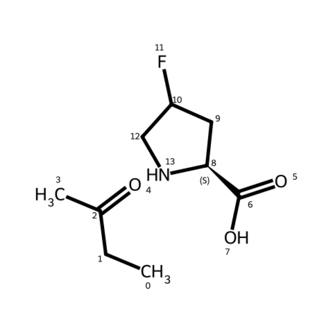 CCC(C)=O.O=C(O)[C@@H]1CC(F)CN1